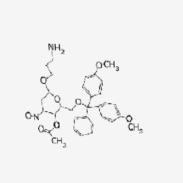 COc1ccc(C(OCC2OC(OCCCN)CC(N=O)C2OC(C)=O)(c2ccccc2)c2ccc(OC)cc2)cc1